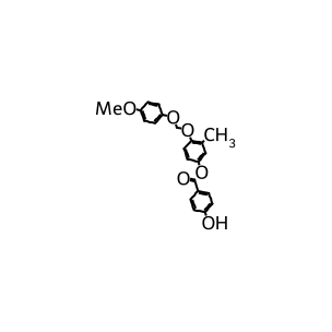 COc1ccc(OCOc2ccc(OC(=O)c3ccc(O)cc3)cc2C)cc1